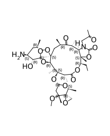 CC[C@H]1OC(=O)[C@H](C)[C@@H](O[C@H]2C[C@@](C)(OC)[C@@]3(CO3)[C@H](C)O2)[C@H](C)[C@@H](O[C@@H]2O[C@H](C)C[C@H](N)[C@H]2O)[C@@](C)(OC)C[C@@H](C)C(=O)[C@H](C)[C@H]2N(CC(C)=O)C(=O)O[C@]12C